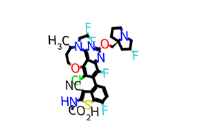 C[C@@H]1CCOc2c(Cl)c(-c3ccc(F)c4sc(NC(=O)O)c(C#N)c34)c(F)c3nc(OC[C@@]45CCCN4C[C@H](F)C5)nc(c23)N1CC(F)F